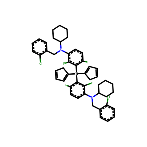 Fc1ccc(N(Cc2ccccc2Cl)C2CCCCC2)c(F)[c]1[Ti]([C]1=CC=CC1)([C]1=CC=CC1)[c]1c(F)ccc(N(Cc2ccccc2Cl)C2CCCCC2)c1F